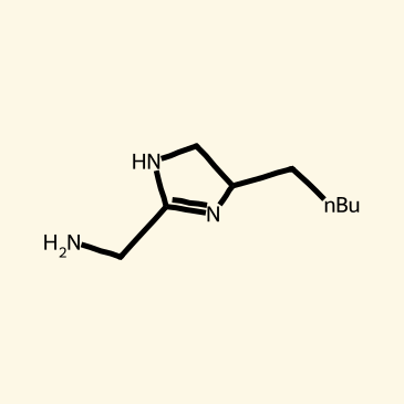 CCCCCC1CNC(CN)=N1